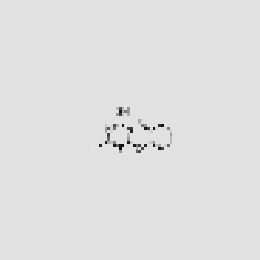 S=C1CC=CC=C1Oc1nc(S)nc(S)n1